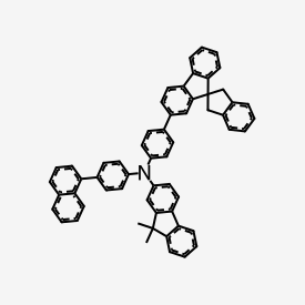 CC1(C)c2ccccc2-c2ccc(N(c3ccc(-c4ccc5c(c4)C4(Cc6ccccc6C4)c4ccccc4-5)cc3)c3ccc(-c4cccc5ccccc45)cc3)cc21